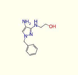 Nc1cn(Cc2ccccc2)nc1NCCO